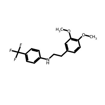 COc1ccc(CCNc2ccc(C(F)(F)F)cc2)cc1OC